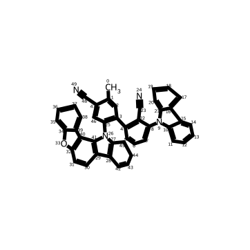 Cc1cc(-c2cccc(-n3c4ccccc4c4ccccc43)c2C#N)c(-n2c3c(c4ccc5oc6ccccc6c5c42)C=CCC3)cc1C#N